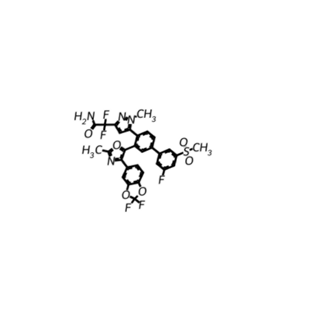 Cc1nc(-c2ccc3c(c2)OC(F)(F)O3)c(-c2cc(-c3cc(F)cc(S(C)(=O)=O)c3)ccc2-c2cc(C(F)(F)C(N)=O)nn2C)o1